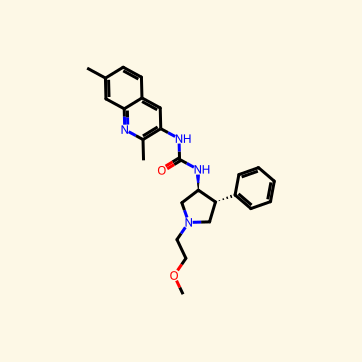 COCCN1C[C@@H](NC(=O)Nc2cc3ccc(C)cc3nc2C)[C@H](c2ccccc2)C1